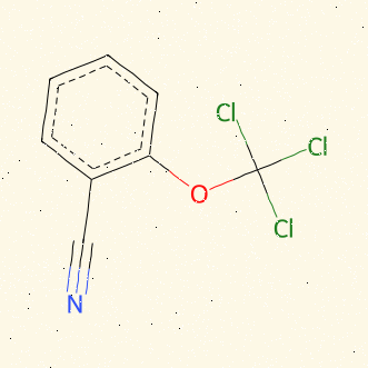 N#Cc1ccccc1OC(Cl)(Cl)Cl